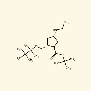 CCN[C@H]1C[C@@H](CO[Si](C)(C)C(C)(C)C)N(C(=O)OC(C)(C)C)C1